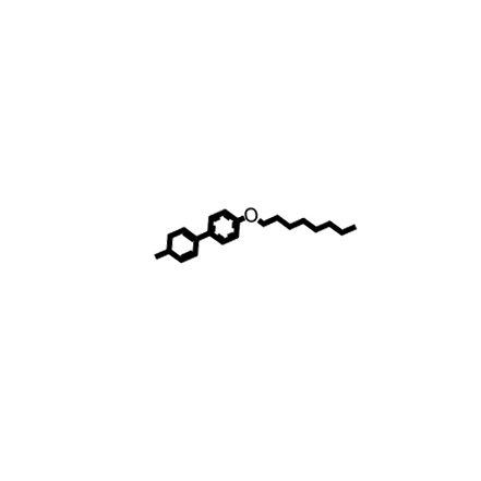 CCCCCCCCOc1ccc(C2=CCC(C)C=C2)cc1